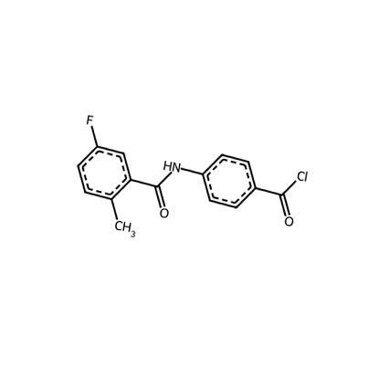 Cc1ccc(F)cc1C(=O)Nc1ccc(C(=O)Cl)cc1